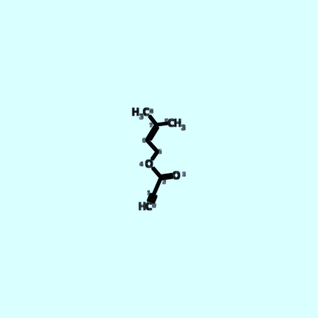 C#CC(=O)OCC=C(C)C